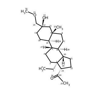 CC[C@]12CC[C@H]3[C@@H](CC[C@@]4(C)C[C@@](O)(COC)CC[C@H]34)[C@@H]1CC[C@@H]2C(C)=O